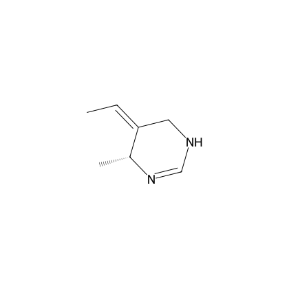 C/C=C1/CNC=N[C@@H]1C